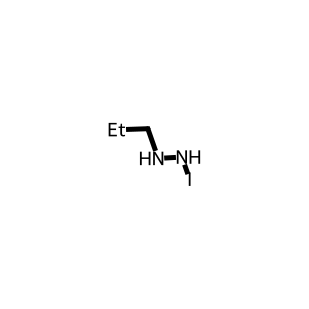 CCCNNI